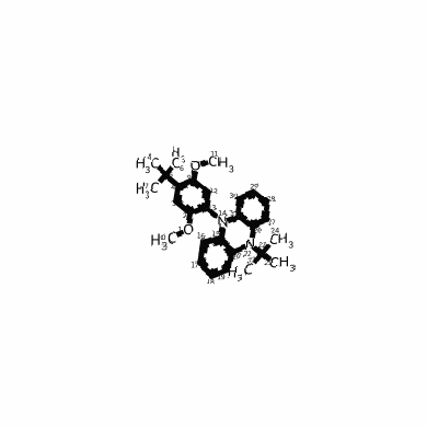 COc1cc(C(C)(C)C)c(OC)cc1N1c2ccccc2N(C(C)(C)C)c2ccccc21